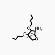 CCCCOC1[C@H](N)C2OC[C@@H](O2)[C@H]1OCCCC